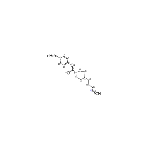 CCCCCCc1ccc(OC(=O)C2CCC(CC/C=C/C#N)CC2)cc1